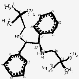 CC(C)(C)CN[C@H](c1ccccc1)[C@H](NCC(C)(C)C)c1ccccc1